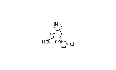 CCCC(O)(CCC)C(CN1CCNCC1)c1cccc(Cl)c1.Cl.Cl